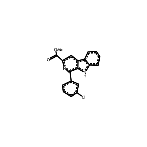 COC(=O)c1cc2c([nH]c3ccccc32)c(-c2cccc(Cl)c2)n1